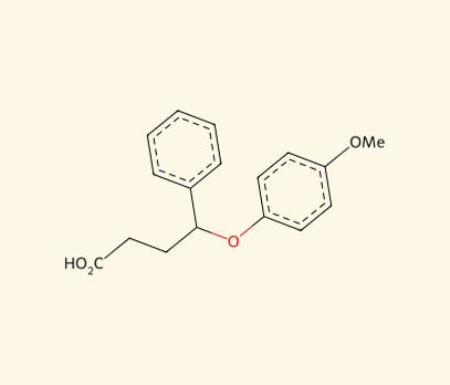 COc1ccc(OC(CCC(=O)O)c2ccccc2)cc1